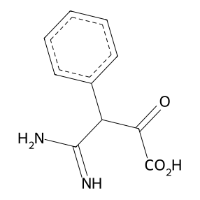 N=C(N)C(C(=O)C(=O)O)c1ccccc1